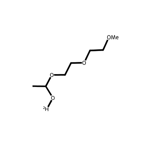 [2H]OC(C)OCCOCCOC